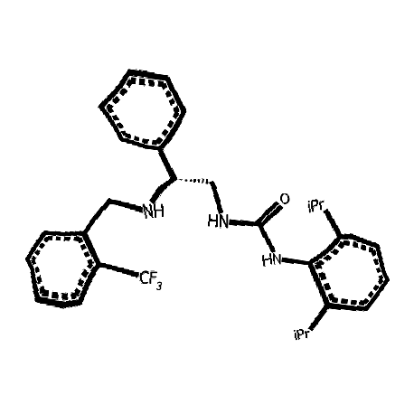 CC(C)c1cccc(C(C)C)c1NC(=O)NC[C@H](NCc1ccccc1C(F)(F)F)c1ccccc1